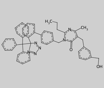 CCCc1nc(C)c(Cc2cccc(CO)c2)c(=O)n1Cc1ccc(-c2ccccc2C2(C(c3ccccc3)(c3ccccc3)c3ccccc3)N=NN=N2)cc1